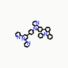 c1ccc(-n2c3ccccc3c3cccc(-c4ccc5c(c4)c4ncccc4n5-c4ccc(-c5cc(-c6ccccn6)nc(-c6ccccn6)c5)cc4)c32)cc1